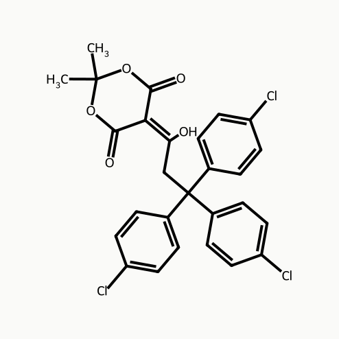 CC1(C)OC(=O)C(=C(O)CC(c2ccc(Cl)cc2)(c2ccc(Cl)cc2)c2ccc(Cl)cc2)C(=O)O1